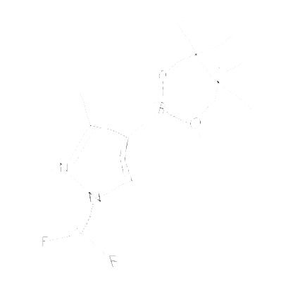 Cc1nn(C(F)F)cc1B1OC(C)(C)C(C)(C)O1